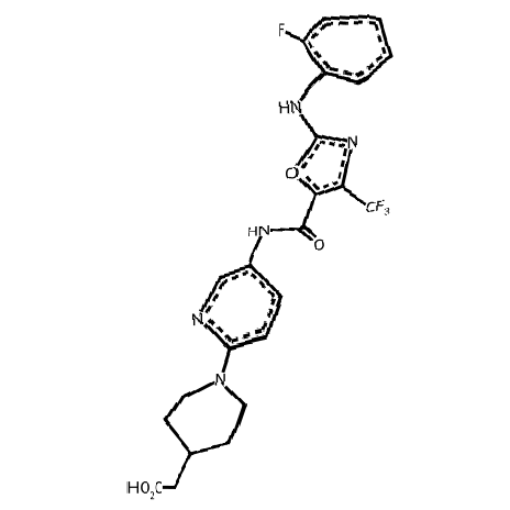 O=C(O)CC1CCN(c2ccc(NC(=O)c3oc(Nc4ccccc4F)nc3C(F)(F)F)cn2)CC1